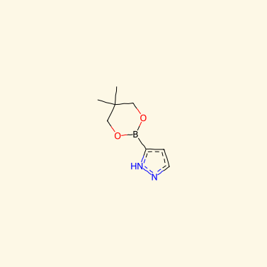 CC1(C)COB(c2ccn[nH]2)OC1